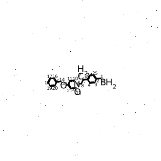 BCc1ccc(C(=C)Cn2ccc(OCc3ccccc3)cc2=O)cc1